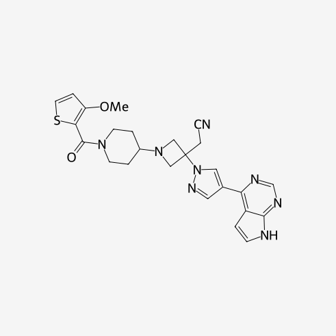 COc1ccsc1C(=O)N1CCC(N2CC(CC#N)(n3cc(-c4ncnc5[nH]ccc45)cn3)C2)CC1